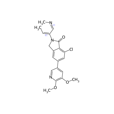 C/C=C(\C=N/C)N1Cc2cc(-c3cnc(OC)c(OC)c3)cc(Cl)c2C1=O